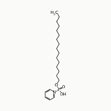 CCCCCCCCCCCCCCCCOP(=O)(O)[n+]1ccccc1